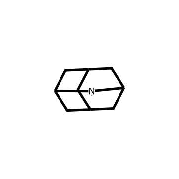 C1C2CC3CC1CC(C2)[N]3